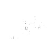 CCC1=C(c2ccoc2)[C@@]2(C)CC[C@@H]3[C@@H](C(CC)C=C4CC(O)CC[C@@]43C)[C@@H]2C1